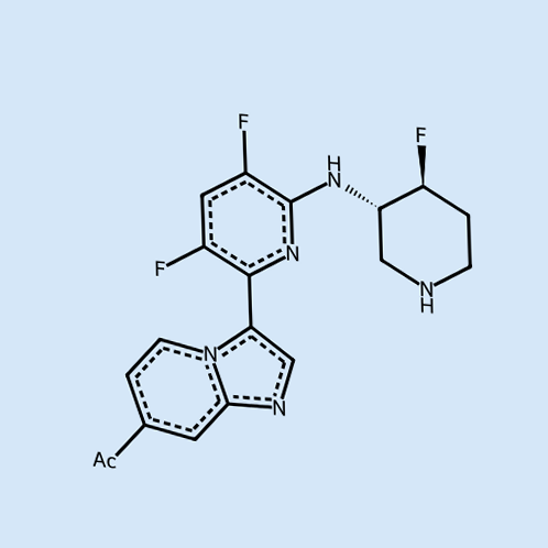 CC(=O)c1ccn2c(-c3nc(N[C@H]4CNCC[C@@H]4F)c(F)cc3F)cnc2c1